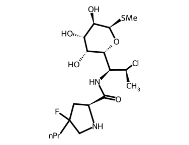 CCCC1(F)CN[C@H](C(=O)N[C@@H]([C@H]2O[C@H](SC)[C@H](O)[C@@H](O)[C@H]2O)[C@H](C)Cl)C1